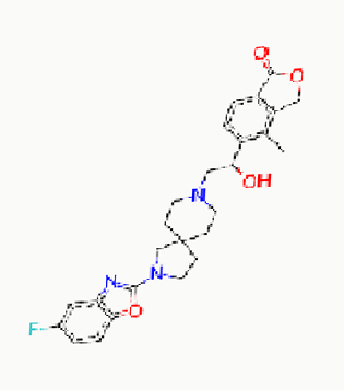 Cc1c([C@@H](O)CN2CCC3(CC2)CCN(c2nc4cc(F)ccc4o2)C3)ccc2c1COC2=O